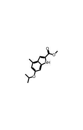 COC(=O)c1cc2c(C)cc(OC(C)C)cc2[nH]1